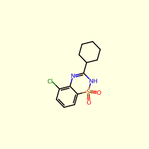 O=S1(=O)NC(C2CCCCC2)=Nc2c(Cl)cccc21